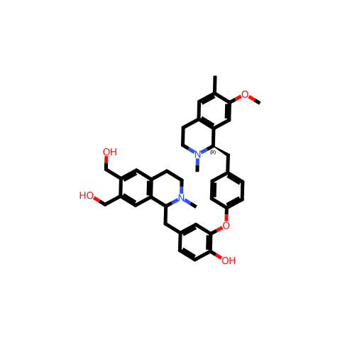 COc1cc2c(cc1C)CCN(C)[C@@H]2Cc1ccc(Oc2cc(CC3c4cc(CO)c(CO)cc4CCN3C)ccc2O)cc1